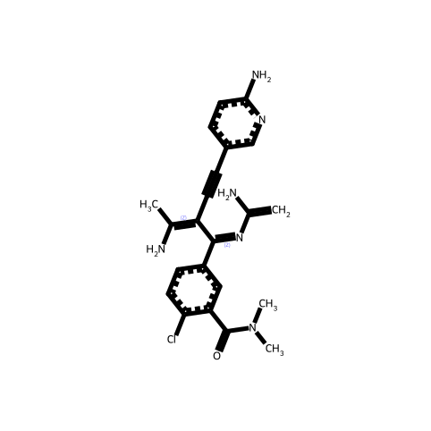 C=C(N)/N=C(\C(C#Cc1ccc(N)nc1)=C(\C)N)c1ccc(Cl)c(C(=O)N(C)C)c1